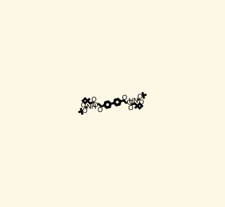 CC(C)(C)OC(=O)N[C@H](C(=O)OCC(=O)c1ccc(-c2ccc(C(=O)COC(=O)[C@@H](NC(=O)OC(C)(C)C)C3(C)CCC3)cc2)cc1)C1(C)CCC1